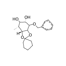 C[C@@H]1C(O)[C@H](O)C(OCc2ccccc2)C2OC3(CCCCC3)O[C@@H]21